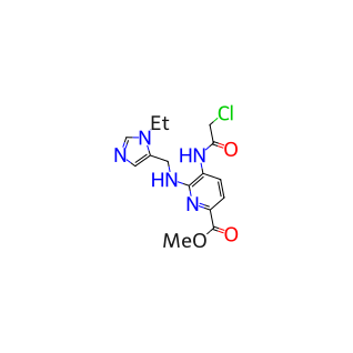 CCn1cncc1CNc1nc(C(=O)OC)ccc1NC(=O)CCl